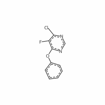 Fc1c(Cl)ncnc1Oc1ccccc1